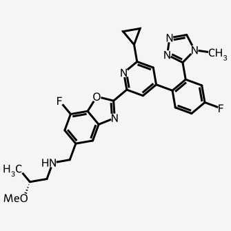 CO[C@H](C)CNCc1cc(F)c2oc(-c3cc(-c4ccc(F)cc4-c4nncn4C)cc(C4CC4)n3)nc2c1